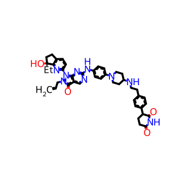 C=CCn1c(=O)c2cnc(Nc3ccc(N4CCC(NCCc5ccc(C6CCC(=O)NC6=O)cc5)CC4)cc3)nc2n1-c1ccc2c(n1)[C@@](O)(CC)CC2